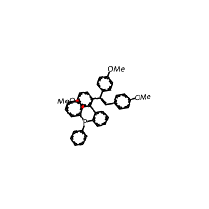 COc1ccc(/C=C(\c2ccc(OC)cc2)c2ccc(OC)cc2-c2ccccc2P(c2ccccc2)c2ccccc2)cc1